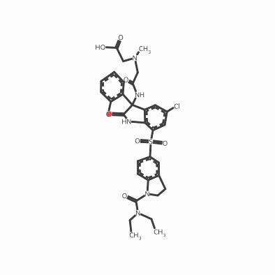 CCN(CC)C(=O)N1CCc2cc(S(=O)(=O)c3cc(Cl)cc4c3NC(=O)C4(NC(=O)CN(C)CC(=O)O)c3ccccc3Cl)ccc21